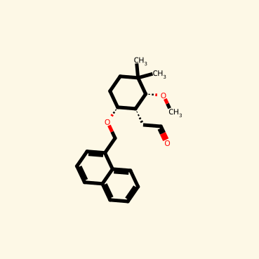 CO[C@@H]1[C@H](CC=O)[C@H](OCc2cccc3ccccc23)CCC1(C)C